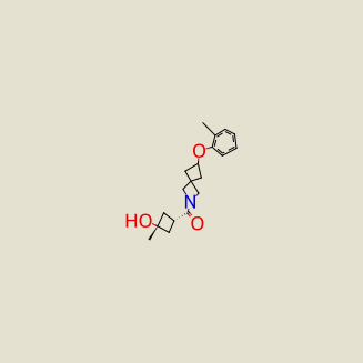 Cc1ccccc1OC1CC2(C1)CN(C(=O)[C@H]1C[C@@](C)(O)C1)C2